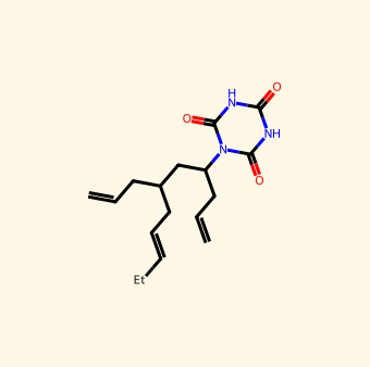 C=CCC(CC=CCC)CC(CC=C)n1c(=O)[nH]c(=O)[nH]c1=O